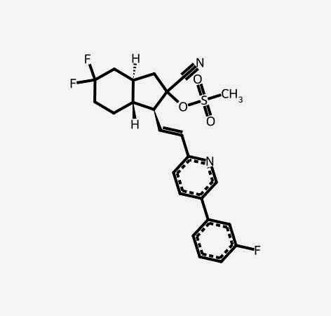 CS(=O)(=O)OC1(C#N)C[C@@H]2CC(F)(F)CC[C@H]2[C@@H]1/C=C/c1ccc(-c2cccc(F)c2)cn1